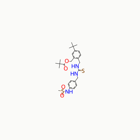 CC(C)(C)C(=O)OCc1cc(C(C)(C)C)ccc1CNC(=S)NCc1ccc(NS(C)(=O)=O)cc1